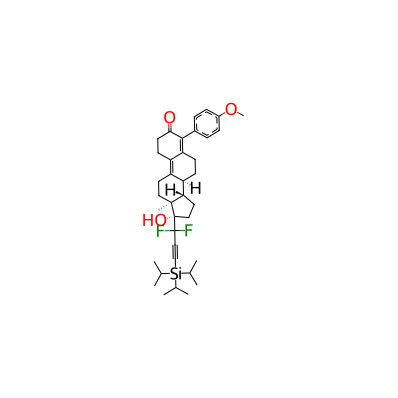 COc1ccc(C2=C3CC[C@@H]4C(=C3CCC2=O)CC[C@@]2(C)[C@H]4CC[C@@]2(O)C(F)(F)C#C[Si](C(C)C)(C(C)C)C(C)C)cc1